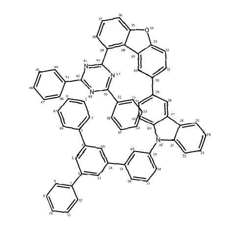 c1ccc(-c2cc(-c3ccccc3)cc(-c3cccc(-n4c5ccccc5c5cc(-c6ccc7oc8cccc(-c9nc(-c%10ccccc%10)nc(-c%10ccccc%10)n9)c8c7c6)ccc54)c3)c2)cc1